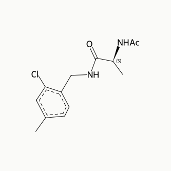 CC(=O)N[C@@H](C)C(=O)NCc1ccc(C)cc1Cl